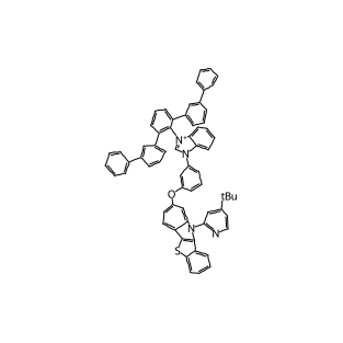 CC(C)(C)c1ccnc(-n2c3cc(Oc4cccc(-n5c[n+](-c6c(-c7cccc(-c8ccccc8)c7)cccc6-c6cccc(-c7ccccc7)c6)c6ccccc65)c4)ccc3c3sc4ccccc4c32)c1